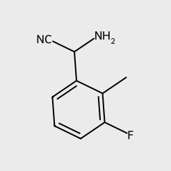 Cc1c(F)cccc1C(N)C#N